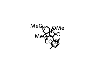 CCOC(=O)OC1=C(c2cc(C)ccc2C)C(=O)N(OC)C12CCN(OC)CC2OC